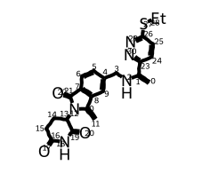 C=C(NCc1ccc2c(c1)C(=C)N(C1CCC(=O)NC1=O)C2=O)c1ccc(SCC)nn1